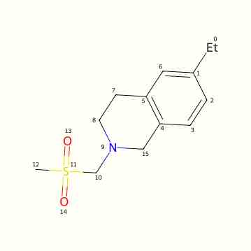 CCc1ccc2c(c1)CCN(CS(C)(=O)=O)C2